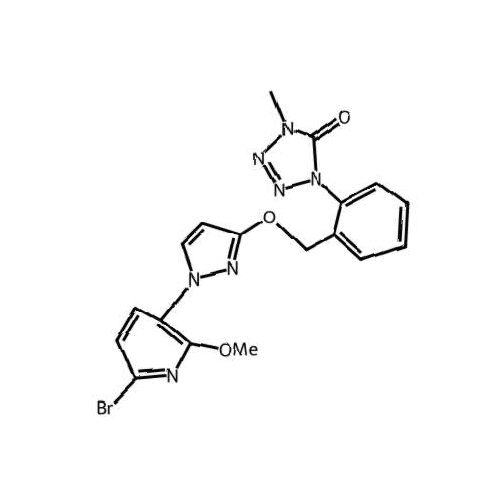 COc1nc(Br)ccc1-n1ccc(OCc2ccccc2-n2nnn(C)c2=O)n1